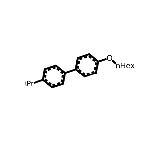 CCCCCCOc1ccc(-c2ccc(C(C)C)cc2)cc1